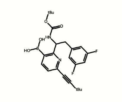 CC(C)(C)C#Cc1ccc(B(O)O)c(C(Cc2cc(F)cc(F)c2)NC(=O)OC(C)(C)C)n1